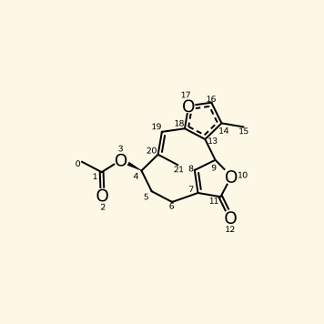 CC(=O)O[C@@H]1CCC2=CC(OC2=O)c2c(C)coc2/C=C/1C